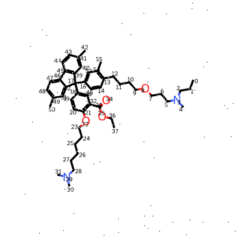 CCCN(C)CCCOCCCCc1ccc(C2(c3ccc(OCCCCCCN(C)C)c(C(=O)OCC)c3)c3cc(C)ccc3-c3ccc(C)cc32)cc1C